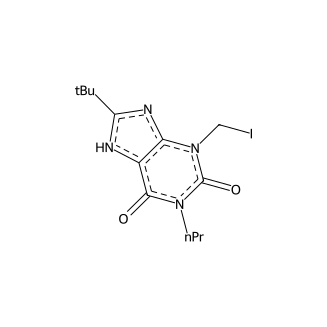 CCCn1c(=O)c2[nH]c(C(C)(C)C)nc2n(CI)c1=O